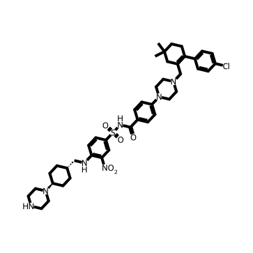 CC1(C)CCC(c2ccc(Cl)cc2)=C(CN2CCN(c3ccc(C(=O)NS(=O)(=O)c4ccc(NC[C@H]5CC[C@H](N6CCNCC6)CC5)c([N+](=O)[O-])c4)cc3)CC2)C1